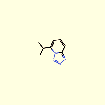 CC(C)c1cccc2nnnn12